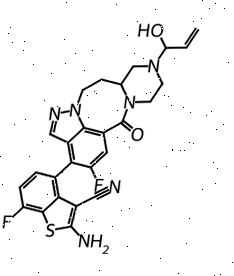 C=CC(O)N1CCN2C(=O)c3cc(F)c(-c4ccc(F)c5sc(N)c(C#N)c45)c4cnn(c34)CCC2C1